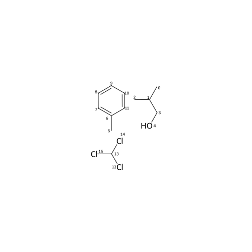 CC(C)CO.Cc1ccccc1.ClC(Cl)Cl